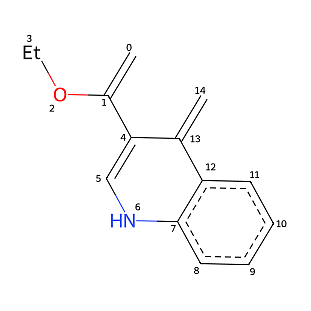 C=C(OCC)C1=CNc2ccccc2C1=C